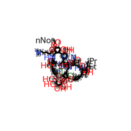 CCCCCCCCCC(=O)Oc1cc(O)c2c(c1)[C@@H](C(=O)CCCCN(C)C)NC(=O)[C@H]1NC(=O)[C@H](CC(=O)[C@@H]3NC(=O)[C@H](CC(N)=O)CC(=O)[C@H](NC(=O)[C@H](CC)CC(C)C)[C@H](O)c4ccc(c(Cl)c4)Oc4cc3cc(c4O[C@@H]3O[C@H](CO)[C@@H](O)[C@H](O)[C@H]3O)Oc3ccc(cc3Cl)[C@H]1O)c1ccc(O)c-2c1